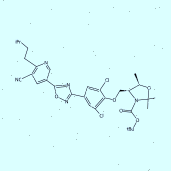 CC(C)CCc1ncc(-c2nc(-c3cc(Cl)c(OC[C@H]4[C@@H](C)OC(C)(C)N4C(=O)OC(C)(C)C)c(Cl)c3)no2)cc1C#N